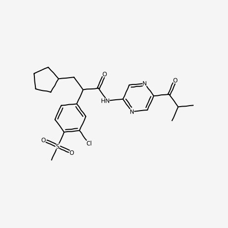 CC(C)C(=O)c1cnc(NC(=O)C(CC2CCCC2)c2ccc(S(C)(=O)=O)c(Cl)c2)cn1